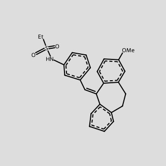 CCS(=O)(=O)Nc1cccc(C=C2c3ccccc3CCc3cc(OC)ccc32)c1